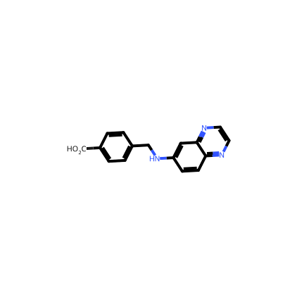 O=C(O)c1ccc(CNc2ccc3nccnc3c2)cc1